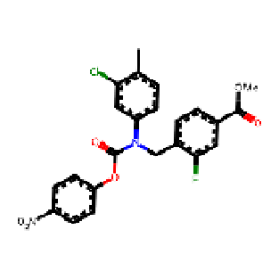 COC(=O)c1ccc(CN(C(=O)Oc2ccc([N+](=O)[O-])cc2)c2ccc(C)c(Cl)c2)c(F)c1